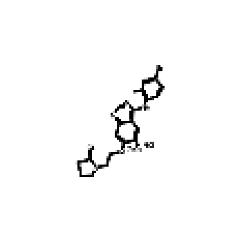 COc1cc2c(Nc3ccc(Br)cc3F)ncnc2cc1OCCN1CCCC1O.Cl